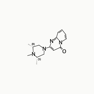 C[C@@H]1CN(c2cc(=O)n3ccccc3n2)C[C@H](C)N1C